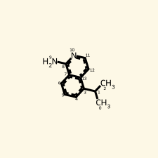 CC(C)c1cccc2c(N)nccc12